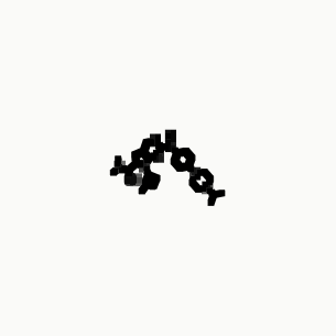 CC(C)N1CCN(c2ccc(Nc3ncc4cc(C(=O)N(C)C)n(C56CC(C5)[C@H]6C)c4n3)cc2)CC1